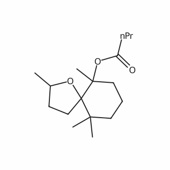 CCCC(=O)OC1(C)CCCC(C)(C)C12CCC(C)O2